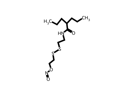 CCCC(CCC)C(=O)NCCSSCCON=O